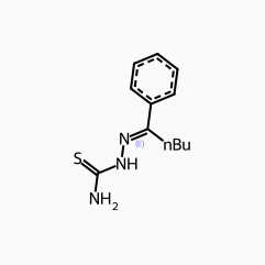 CCCC/C(=N\NC(N)=S)c1ccccc1